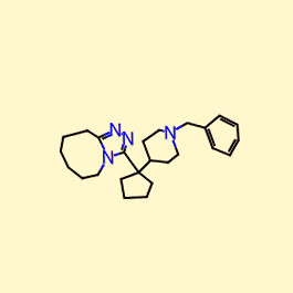 c1ccc(CN2CCC(C3(c4nnc5n4CCCCCC5)CCCC3)CC2)cc1